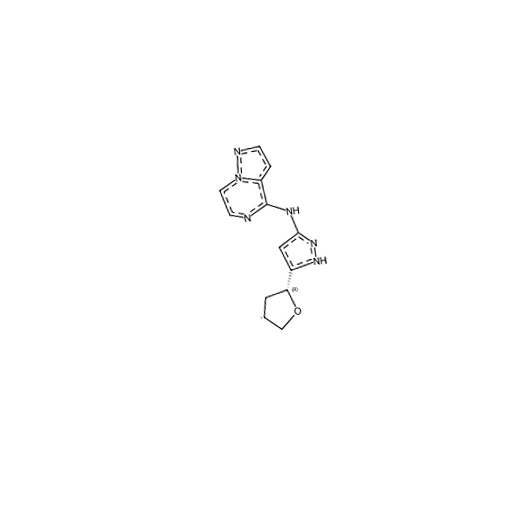 [CH]1CO[C@@H](c2cc(Nc3nccn4nccc34)n[nH]2)C1